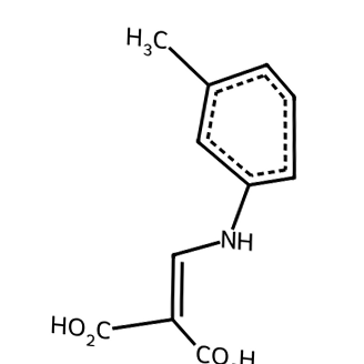 Cc1cccc(NC=C(C(=O)O)C(=O)O)c1